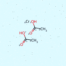 CC(=O)O.CC(=O)O.[Cr]